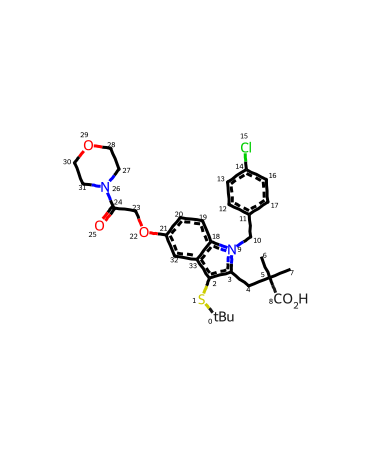 CC(C)(C)Sc1c(CC(C)(C)C(=O)O)n(Cc2ccc(Cl)cc2)c2ccc(OCC(=O)N3CCOCC3)cc12